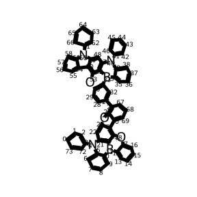 c1ccc(N2c3ccccc3B3c4ccccc4Oc4c3c2cc2oc3c(-c5ccc6c(c5)B5c7ccccc7N(c7ccccc7)c7cc8c(c(c75)O6)c5ccccc5n8-c5ccccc5)cccc3c42)cc1